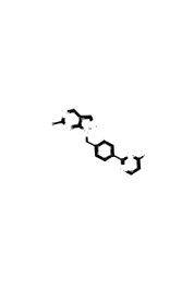 FC(F)(F)c1ccnc(-c2ccc(Cn3ncc4cnc(Cl)nc43)cc2)n1